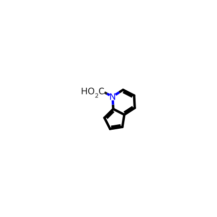 O=C(O)n1cccc2cccc1-2